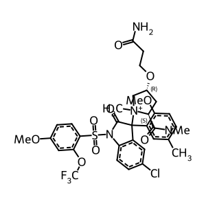 CNC(=O)[C@@H]1C[C@@H](OCCC(N)=O)C[N+]1(C)C1(c2cc(C)ccc2OC)C(=O)N(S(=O)(=O)c2ccc(OC)cc2OC(F)(F)F)c2ccc(Cl)cc21